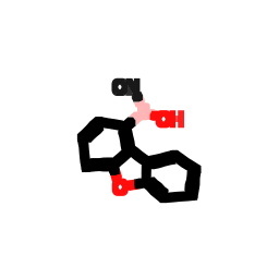 O=NB(O)c1cccc2oc3ccccc3c12